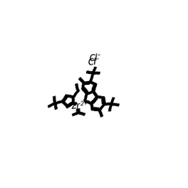 CCC1C=C(C(C)(C)C)C=[C]1[Zr+2](=[C](C)C)[CH]1c2cc(C)c(C(C)(C)C)cc2-c2cc(C(C)(C)C)c(C)cc21.[Cl-].[Cl-]